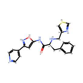 O=C(Nc1cc(-c2ccncc2)no1)[C@H](Cc1ccccc1)NCc1cscn1